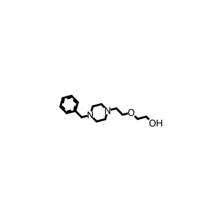 OCCOCCN1CCN(Cc2ccccc2)CC1